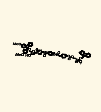 COc1ccc(C(OC[C@H]2O[C@@H](n3ccc(NC(=O)c4ccc(CNC(=O)Cc5ccc(OC(=O)OCCN(C)C(=O)OCC6c7ccccc7-c7ccccc76)cc5)cc4)nc3=O)C[C@H]2O)(c2ccccc2)c2ccc(OC)cc2)cc1